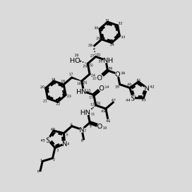 CCCc1nc(CN(C)C(=O)N[C@H](C(=O)N[C@@H](Cc2ccccc2)C[C@H](O)[C@H](Cc2ccccc2)NC(=O)OCc2cncs2)C(C)C)cs1